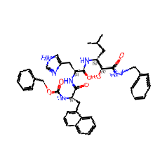 CC(C)C[C@H](NC(=O)[C@H](Cc1c[nH]cn1)NC(=O)[C@@H](Cc1cccc2ccccc12)NC(=O)OCc1ccccc1)[C@H](O)C(=O)NCc1ccccc1